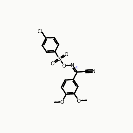 COc1ccc(/C(C#N)=N\OS(=O)(=O)c2ccc(Cl)cc2)cc1OC